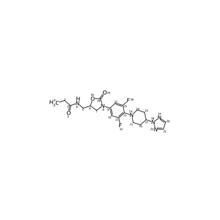 CCC(=O)NCC1CN(c2cc(F)c(N3CCC(n4nccn4)CC3)c(F)c2)C(=O)O1